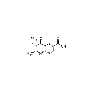 CCc1c(C)nc2ccc(C(=O)O)cc2c1Cl